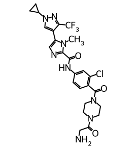 Cn1c(-c2cn(C3CC3)nc2C(F)(F)F)cnc1C(=O)Nc1ccc(C(=O)N2CCN(C(=O)CN)CC2)c(Cl)c1